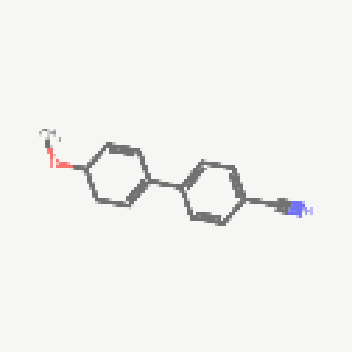 COC1C=CC(c2ccc(C#N)cc2)=CC1